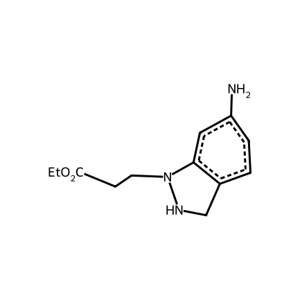 CCOC(=O)CCN1NCc2ccc(N)cc21